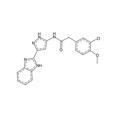 COc1ccc(CC(=O)Nc2cc(-c3nc4ccccc4[nH]3)n[nH]2)cc1Cl